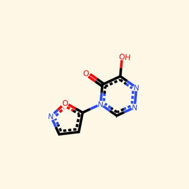 O=c1c(O)nn[c]n1-c1ccno1